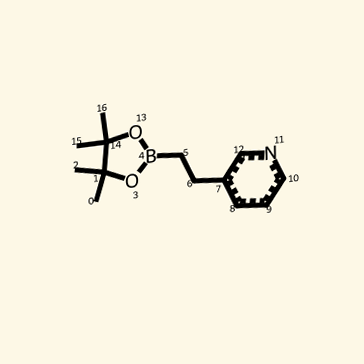 CC1(C)OB(CCc2cccnc2)OC1(C)C